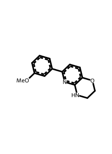 COc1cccc(-c2ccc3c(n2)NCCO3)c1